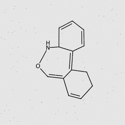 C1=CC2=C3CCC=CC3=CONC2C=C1